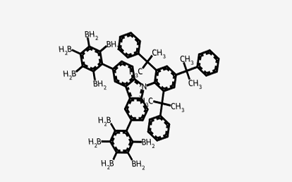 Bc1c(B)c(B)c(-c2ccc3c(c2)c2cc(-c4c(B)c(B)c(B)c(B)c4B)ccc2n3-c2c(C(C)(C)c3ccccc3)cc(C(C)(C)c3ccccc3)cc2C(C)(C)c2ccccc2)c(B)c1B